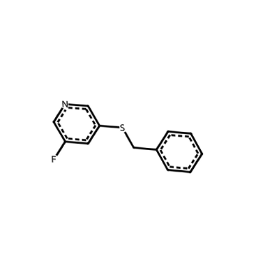 Fc1cncc(SCc2ccccc2)c1